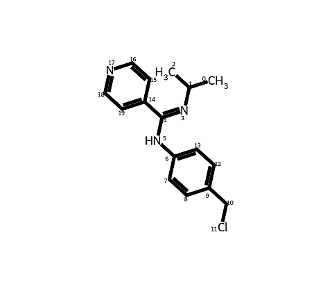 CC(C)N=C(Nc1ccc(CCl)cc1)c1ccncc1